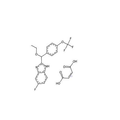 CCOC(c1ccc(OC(F)(F)F)cc1)c1nc2cc(F)ccc2[nH]1.O=C(O)/C=C\C(=O)O